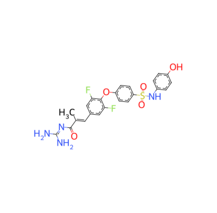 C/C(=C\c1cc(F)c(Oc2ccc(S(=O)(=O)Nc3ccc(O)cc3)cc2)c(F)c1)C(=O)N=C(N)N